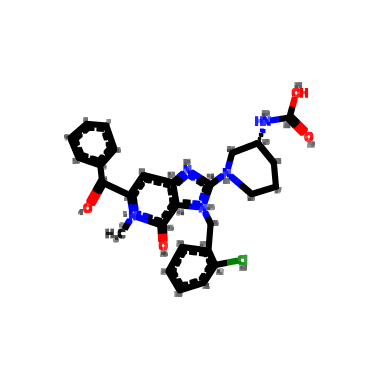 Cn1c(C(=O)c2ccccc2)cc2nc(N3CCC[C@@H](NC(=O)O)C3)n(Cc3ccccc3Cl)c2c1=O